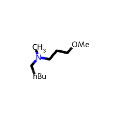 [CH2]CCCCN(C)CCCOC